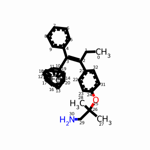 CCC(=C(c1ccccc1)[C]12[CH]3[CH]4[CH]5[CH]1[Fe]45321678[CH]2[CH]1[CH]6[CH]7[CH]28)c1ccc(OC(C)(C)CN)cc1